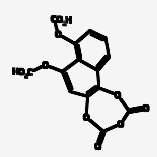 O=C(O)Oc1cccc2c3c(cc(OC(=O)O)c12)OC(=O)OC(=O)O3